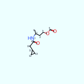 CC(CCOC=O)NC(=O)CC1CC1